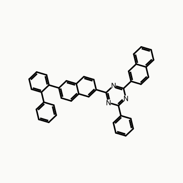 c1ccc(-c2nc(-c3ccc4ccccc4c3)nc(-c3ccc4cc(-c5ccccc5-c5ccccc5)ccc4c3)n2)cc1